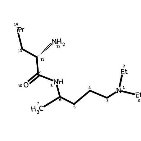 CCN(CC)CCCC(C)NC(=O)[C@@H](N)CC(C)C